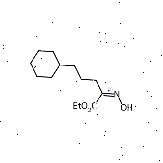 CCOC(=O)/C(CCCC1CCCCC1)=N\O